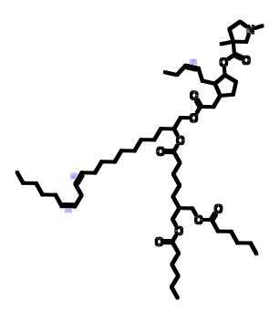 CC/C=C\CC1C(CC(=O)OCC(CCCCCCCC/C=C\C/C=C\CCCCC)OC(=O)CCCCC(COC(=O)CCCCC)COC(=O)CCCCC)CCC1OC(=O)C1(C)CCN(C)C1